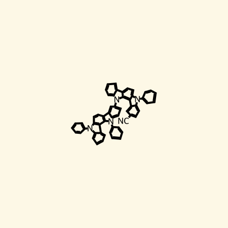 N#Cc1ccc2c(c1)c1c(ccc3c4ccccc4n(-c4ccc5c(c4)c4ccc6c(c7ccccc7n6-c6ccccc6)c4n5-c4ccccc4)c31)n2-c1ccccc1